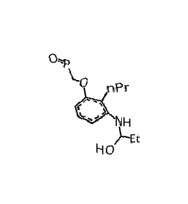 CCCc1c(NC(O)CC)cccc1OCP=O